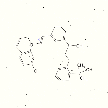 CC(C)(O)c1ccccc1CCC(O)c1cccc(/C=C/N2CC=Cc3ccc(Cl)cc32)c1